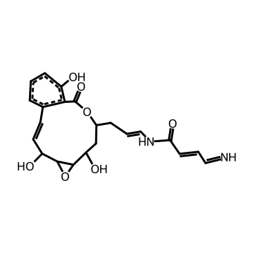 N=C/C=C/C(=O)N/C=C/CC1CC(O)C2OC2C(O)/C=C/c2cccc(O)c2C(=O)O1